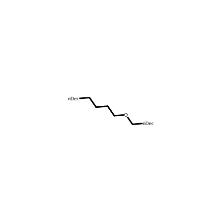 CCCCCCCCCCCCCCOCCCCCCCCCCC